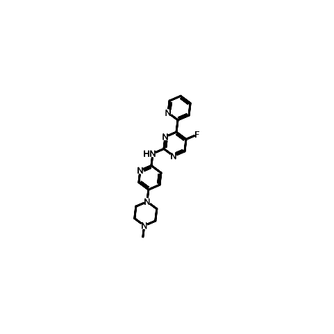 CN1CCN(c2ccc(Nc3ncc(F)c(-c4ccccn4)n3)nc2)CC1